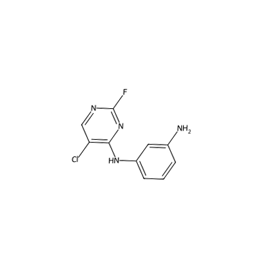 Nc1cccc(Nc2nc(F)ncc2Cl)c1